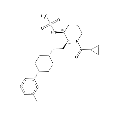 CS(=O)(=O)N[C@H]1CCCN(C(=O)C2CC2)[C@H]1CO[C@H]1CC[C@@H](c2cccc(F)c2)CC1